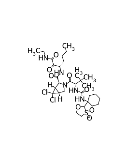 CCCC[C@H](NC(=O)[C@@H]1[C@@H]2[C@H](CN1C(=O)[C@@H](NC(=O)NC1(C3OCCS3(=O)=O)CCCCC1)C(C)(C)C)C2(Cl)Cl)C(=O)C(=O)NCC